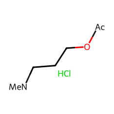 CNCCCOC(C)=O.Cl